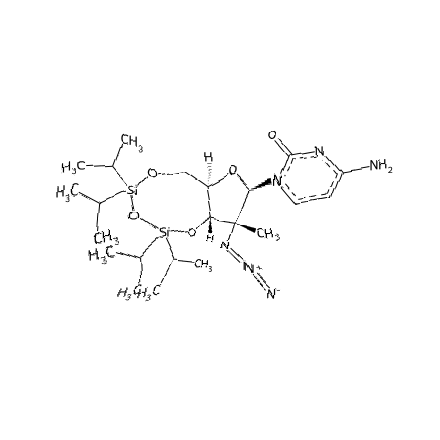 CC(C)[Si]1(C(C)C)OC[C@H]2O[C@@H](n3ccc(N)nc3=O)[C@](C)(N=[N+]=[N-])[C@@H]2O[Si](C(C)C)(C(C)C)O1